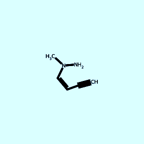 C#C/C=C\N(C)N